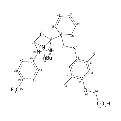 CCCCN1C2OC1(C1(CSc3cc(C)c(OCC(=O)O)cc3C)C=CC=CC1)NN2c1ccc(C(F)(F)F)cc1